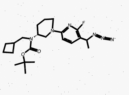 CC(N=[N+]=[N-])c1ccc(N2CCC[C@@H](N(CC3CCC3)C(=O)OC(C)(C)C)C2)nc1F